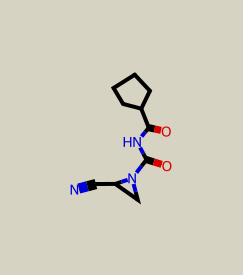 N#CC1CN1C(=O)NC(=O)C1CCCC1